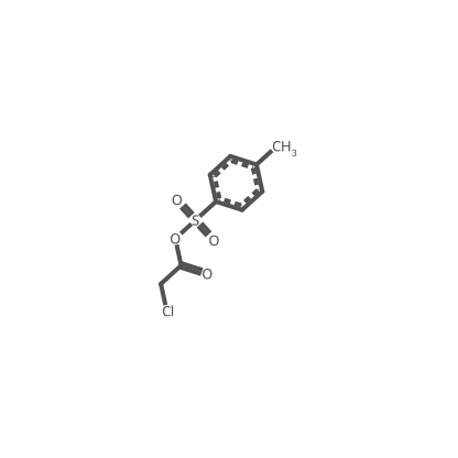 Cc1ccc(S(=O)(=O)OC(=O)CCl)cc1